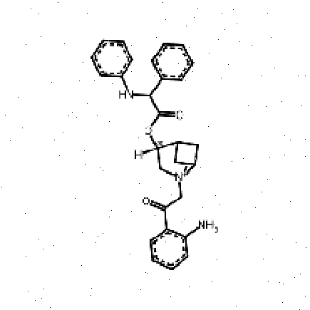 Nc1ccccc1C(=O)C[N+]1=C2CC(C2)[C@@H](OC(=O)C(Nc2ccccc2)c2ccccc2)C1